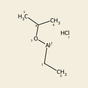 C[CH2][Al][O]C(C)C.Cl